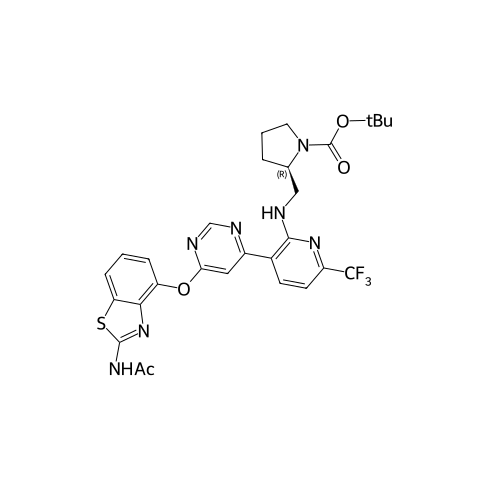 CC(=O)Nc1nc2c(Oc3cc(-c4ccc(C(F)(F)F)nc4NC[C@H]4CCCN4C(=O)OC(C)(C)C)ncn3)cccc2s1